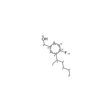 CCCCC(C)c1cc(CO)ccc1F